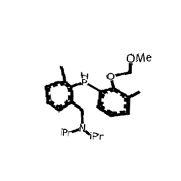 COCOc1c(C)cccc1Pc1c(C)cccc1CN(C(C)C)C(C)C